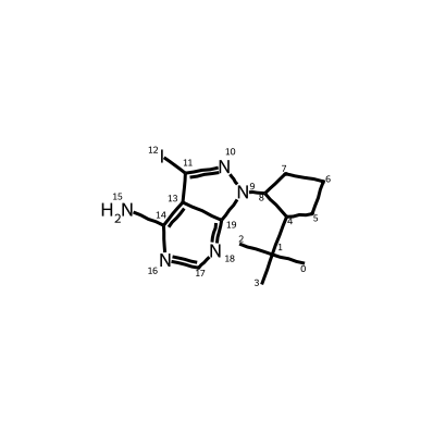 CC(C)(C)C1CCCC1n1nc(I)c2c(N)ncnc21